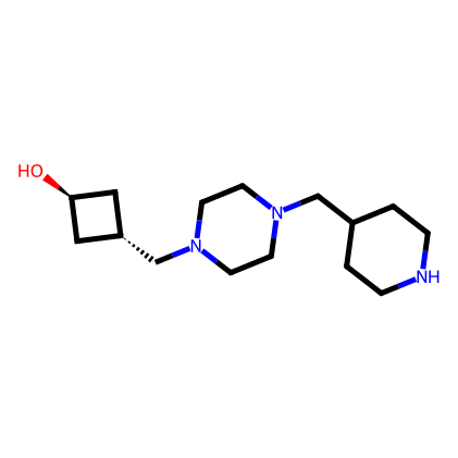 O[C@H]1C[C@H](CN2CCN(CC3CCNCC3)CC2)C1